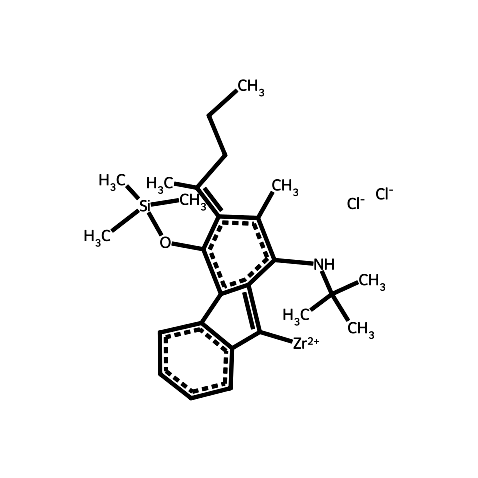 CCCC(C)=c1c(C)c(NC(C)(C)C)c2c(c1O[Si](C)(C)C)-c1ccccc1[C]=2[Zr+2].[Cl-].[Cl-]